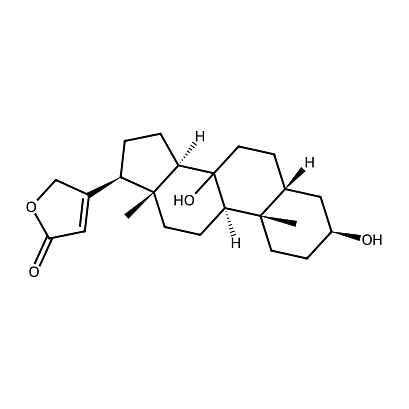 C[C@]12CC[C@H](O)C[C@H]1CCC1(O)[C@@H]2CC[C@]2(C)[C@@H](C3=CC(=O)OC3)CC[C@@H]12